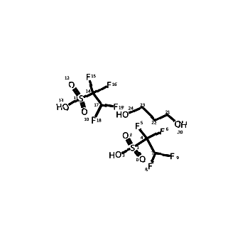 O=S(=O)(O)C(F)(F)C(F)F.O=S(=O)(O)C(F)(F)C(F)F.OCCCO